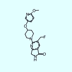 COc1ccc(OC2CCN(c3nc4c(cc3CF)C(=O)NC4)CC2)cn1